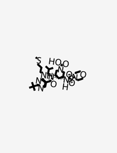 CSCCCNc1nc(C(C)(C)C)ncc1C(=O)N(CC(C)C)[C@H]1C[C@@H](NS(=O)(=O)N2CCOCC2)CN(C(=O)O)C1